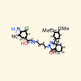 COc1ccc(C2=NN(CCCCNCC(O)c3cc(Cl)c(N)c(C#N)c3)C(=O)[C@@H]3CC=CC[C@H]23)cc1OC